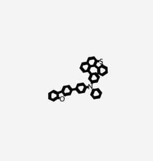 c1ccc(N(c2ccc(-c3ccc4c(c3)oc3ccccc34)cc2)c2cccc(-c3cccc4ccc5sc6ccccc6c5c34)c2)cc1